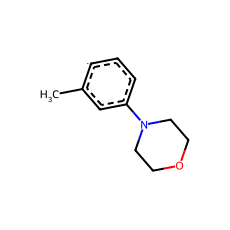 Cc1[c]ccc(N2CCOCC2)c1